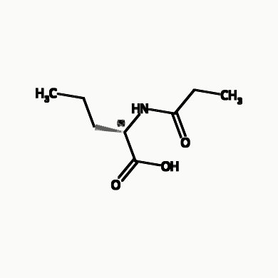 CCC[C@H](NC(=O)CC)C(=O)O